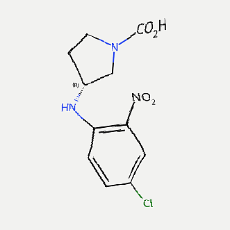 O=C(O)N1CC[C@@H](Nc2ccc(Cl)cc2[N+](=O)[O-])C1